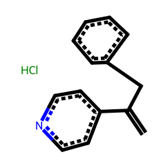 C=C(Cc1ccccc1)c1ccncc1.Cl